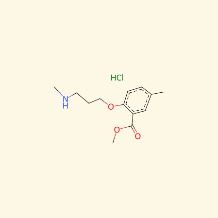 CNCCCOc1ccc(C)cc1C(=O)OC.Cl